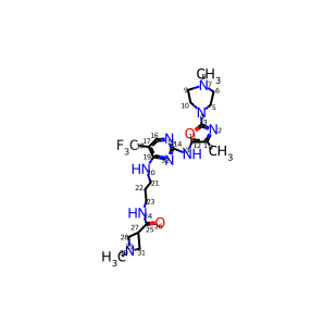 Cc1nc(N2CCN(C)CC2)oc1Nc1ncc(C(F)(F)F)c(NCCCNC(=O)C2CN(C)C2)n1